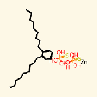 CCCCCCCCCc1ccccc1CCCCCCCCC.OP(O)(O)=S.OP(O)(O)=S.[Zn]